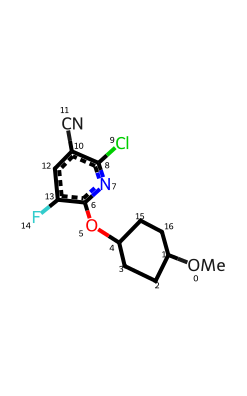 COC1CCC(Oc2nc(Cl)c(C#N)cc2F)CC1